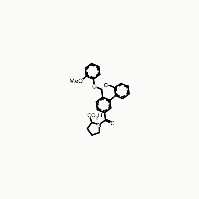 COc1ccccc1OCc1ccc(C(=O)N2CCCC2C(=O)O)cc1-c1ccccc1Cl